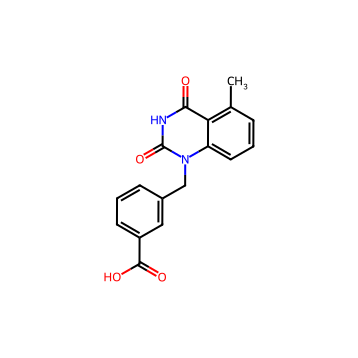 Cc1cccc2c1c(=O)[nH]c(=O)n2Cc1cccc(C(=O)O)c1